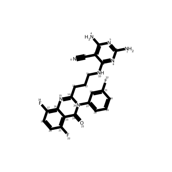 N#Cc1c(N)nc(N)nc1NCCCc1nc2c(F)ccc(F)c2c(=O)n1-c1cccc(F)c1